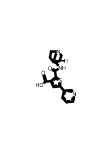 O=C(O)c1cc(-c2cccnc2)sc1C(=O)N[C@H]1CN2CCC1CC2